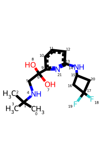 CC(C)(C)NCC(O)(O)c1cccc(NC2CC(F)(F)C2)n1